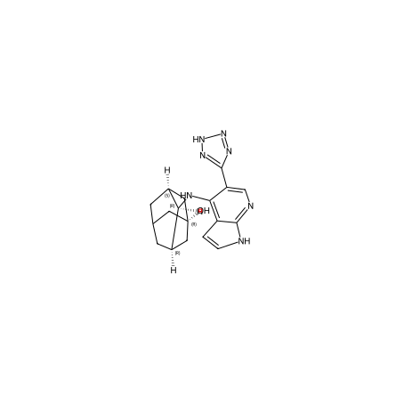 O[C@@]12CC3C[C@H](C1)[C@H](Nc1c(-c4nn[nH]n4)cnc4[nH]ccc14)[C@@H](C3)C2